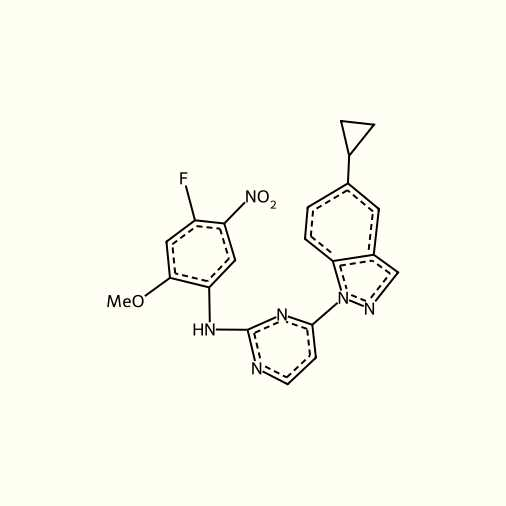 COc1cc(F)c([N+](=O)[O-])cc1Nc1nccc(-n2ncc3cc(C4CC4)ccc32)n1